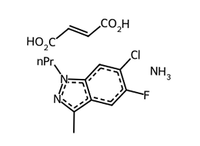 CCCn1nc(C)c2cc(F)c(Cl)cc21.N.O=C(O)C=CC(=O)O